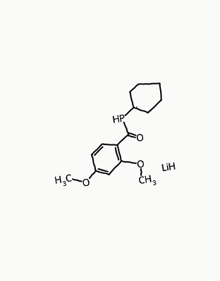 COc1ccc(C(=O)P[C]2CCCCC2)c(OC)c1.[LiH]